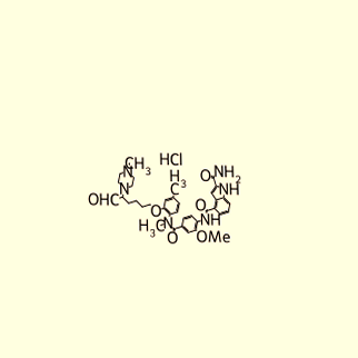 COc1cc(C(=O)N(C)c2ccc(C)cc2OCCCCC(C=O)N2CCN(C)CC2)ccc1NC(=O)c1cccc2[nH]c(C(N)=O)cc12.Cl